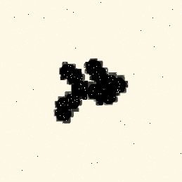 c1ccc2cc(-c3nc(-c4ccc5c(ccc6ccccc65)c4)nc(-c4cc(-n5c6cc7ccccc7cc6c6cc7ccccc7cc65)c5c(c4)sc4ccccc45)n3)ccc2c1